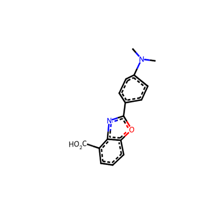 CN(C)c1ccc(-c2nc3c(C(=O)O)cccc3o2)cc1